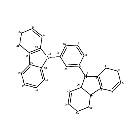 C1=CC2=C(CC1)N(c1cccc(-n3c4c(c5ccccc53)CCC=C4)c1)C1C=CCCC21